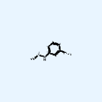 CCCNNc1cccc([N+](=O)[O-])c1